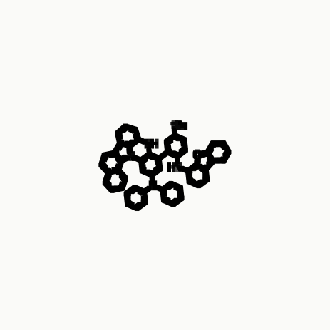 CC(C)(C)c1ccc(Nc2cccc3c2oc2ccccc23)c(-c2cc(N(c3ccccc3)c3ccccc3)cc3c2Bc2cccc4c5ccc6ccccc6c5n-3c24)c1